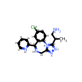 CC(CN)c1nnc2n1-c1ccc(Cl)cc1C(c1ccccn1)=NC2